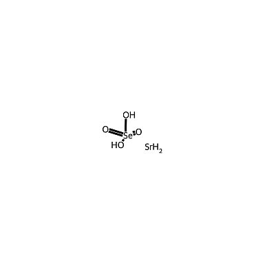 O=[Se](=O)(O)O.[SrH2]